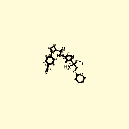 CC(C)(COC1CCCCO1)c1cc(NC(=O)[C@@H]2CCN2c2ccc(C#N)cc2)on1